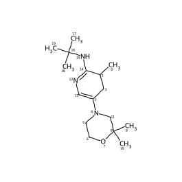 CC1CC(N2CCOC(C)(C)C2)=CN=C1NC(C)(C)C